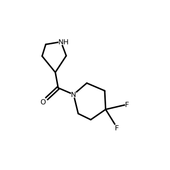 O=C(C1CCNC1)N1CCC(F)(F)CC1